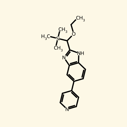 CCOC(c1nc2cc(-c3ccncc3)ccc2[nH]1)[Si](C)(C)C